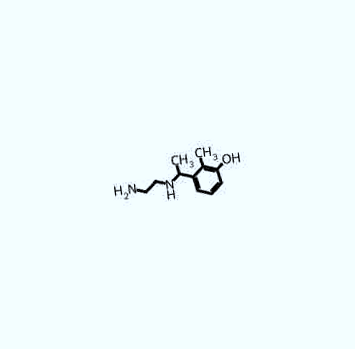 Cc1c(O)cccc1C(C)NCCN